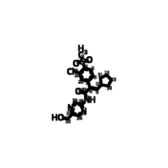 CS(=O)(=O)c1ccc(/C(=C\C2CCCC2)C(=O)Nc2cnc(CO)cn2)cc1Cl